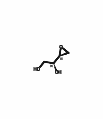 OC[C@@H](O)[C@@H]1CO1